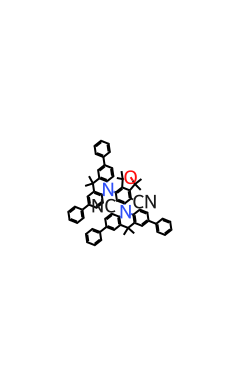 CC1(C)OC(C)(C)c2c(N3c4ccc(-c5ccccc5)cc4C(C)(C)c4cc(-c5ccccc5)ccc43)c(C#N)c(N3c4ccc(-c5ccccc5)cc4C(C)(C)c4cc(-c5ccccc5)ccc43)c(C#N)c21